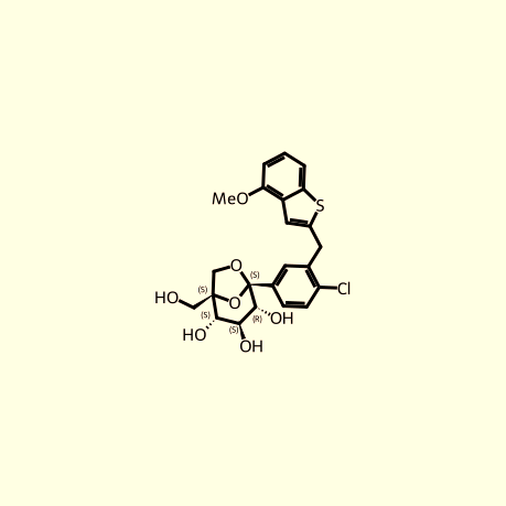 COc1cccc2sc(Cc3cc([C@]45OC[C@](CO)(O4)[C@@H](O)[C@H](O)[C@H]5O)ccc3Cl)cc12